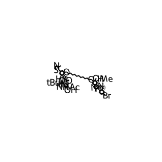 COc1cc2c(N[C@H](C)c3cccc(Br)c3)nc(C)nc2cc1OCCCCCCCCCCCOc1cc(-c2scnc2C)ccc1CNC(=O)[C@@H]1C[C@@H](O)CN1C(=O)[C@@H](NC(C)=O)C(C)(C)C